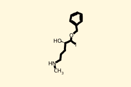 CNCCC[C@H](O)C(I)OCc1ccccc1